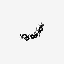 O=C1CCc2c(Oc3ccc4c(c3)[C@H]3[C@@H](C4)[C@@H]3c3nc4ccc(C(F)(F)F)cc4[nH]3)ccnc2N1